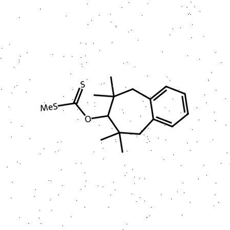 CSC(=S)OC1C(C)(C)Cc2ccccc2CC1(C)C